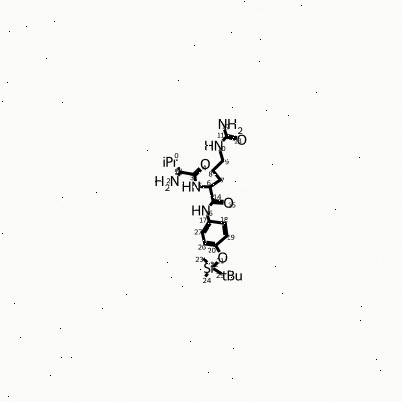 CC(C)[C@H](N)C(=O)NC(CCCNC(N)=O)C(=O)Nc1ccc(O[Si](C)(C)C(C)(C)C)cc1